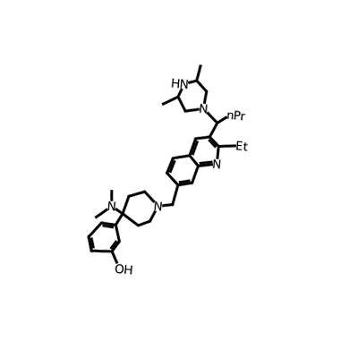 CCCC(c1cc2ccc(CN3CCC(c4cccc(O)c4)(N(C)C)CC3)cc2nc1CC)N1CC(C)NC(C)C1